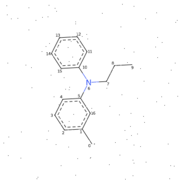 [CH2]c1cccc(N(CCC)c2ccccc2)c1